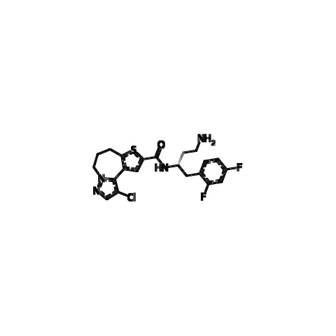 NCC[C@H](Cc1ccc(F)cc1F)NC(=O)c1cc2c(s1)CCCn1ncc(Cl)c1-2